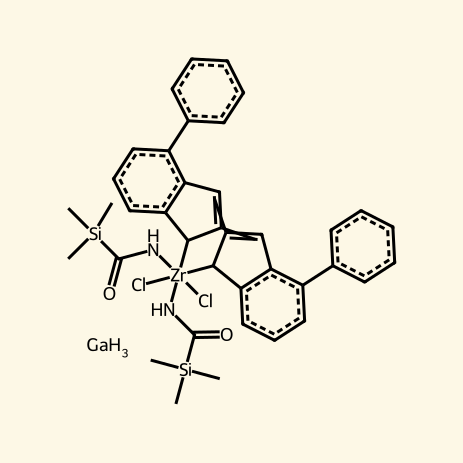 CC1=Cc2c(-c3ccccc3)cccc2[CH]1[Zr]([Cl])([Cl])([NH]C(=O)[Si](C)(C)C)([NH]C(=O)[Si](C)(C)C)[CH]1C(C)=Cc2c(-c3ccccc3)cccc21.[GaH3]